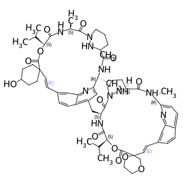 CC(C)[C@@H]1OC(=O)C2(/C=C/c3ccc4c(C[C@@H]5NC(=O)[C@H](C(C)C)OC(=O)C6(/C=C/c7ccc8ccc(nc8c7)[C@@H](C)NC(=O)[C@@H]7CCCN(N7)C5=O)COCCO6)cc(nc4c3)[C@@H](C)NC(=O)C3(C)CCCN(N3)C(=O)[C@H](C)NC1=O)CCC(O)CC2